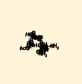 CC(=O)O[C@@H](C)/C=C\C(=O)N[C@@H]1C[C@H](C)[C@H](C/C=C(C)/C=C/[C@H]2O[C@H](CC(=O)NNC(=O)OCc3ccc(NC(=O)[C@H](CCCNC(N)=O)NC(=O)[C@@H](NC(=O)CCCCCN)C(C)C)cc3)C[C@@]3(CO3)[C@@H]2O)O[C@@H]1C